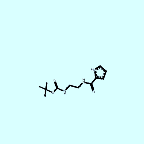 CC(C)(C)OC(=O)NCCNC(=O)c1ccc[nH]1